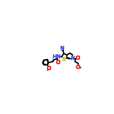 COCCC(=O)N1C=C2SC(NC(=O)C=Cc3ccccc3OC)C(C#N)C2CC1